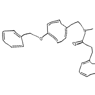 CN(Cc1ccc(OCc2ccccc2)cc1)C(=O)Cc1ccccc1